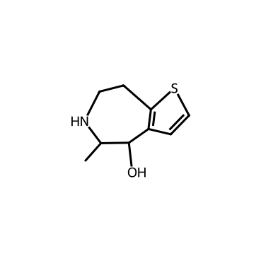 CC1NCCc2sccc2C1O